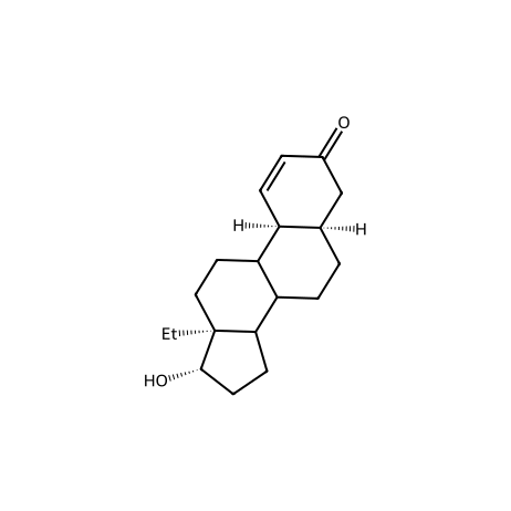 CC[C@]12CCC3C(CC[C@@H]4CC(=O)C=C[C@H]34)C1CC[C@@H]2O